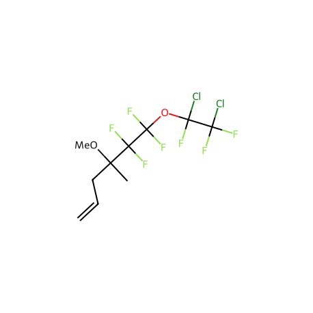 C=CCC(C)(OC)C(F)(F)C(F)(F)OC(F)(Cl)C(F)(F)Cl